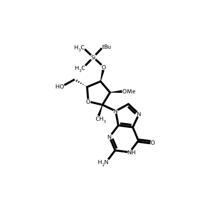 CO[C@@H]1[C@H](O[Si](C)(C)C(C)(C)C)[C@@H](CO)O[C@@]1(C)n1cnc2c(=O)[nH]c(N)nc21